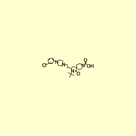 CC(C)(C)N1C(=O)C2(CCN(C(=O)O)CC2)C[C@@H]1CCN1CCN(c2cccc(Cl)c2)CC1